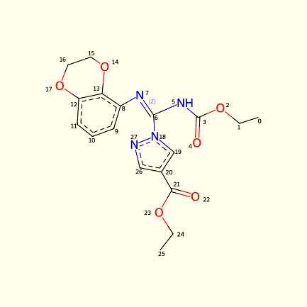 CCOC(=O)N/C(=N/c1cccc2c1OCCO2)n1cc(C(=O)OCC)cn1